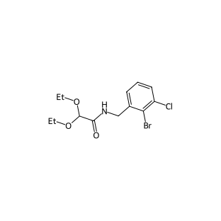 CCOC(OCC)C(=O)NCc1cccc(Cl)c1Br